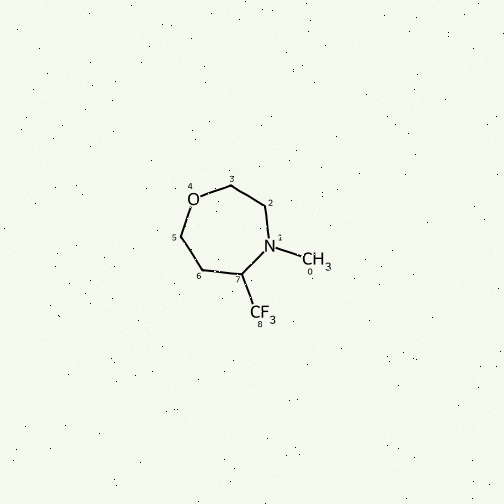 CN1CCOCCC1C(F)(F)F